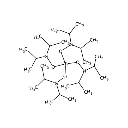 CC(C)N([O][Ti]([O]N(C(C)C)C(C)C)([O]N(C(C)C)C(C)C)[O]N(C(C)C)C(C)C)C(C)C